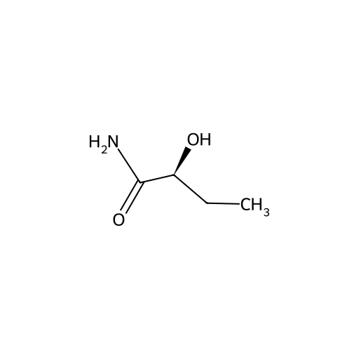 CC[C@H](O)C(N)=O